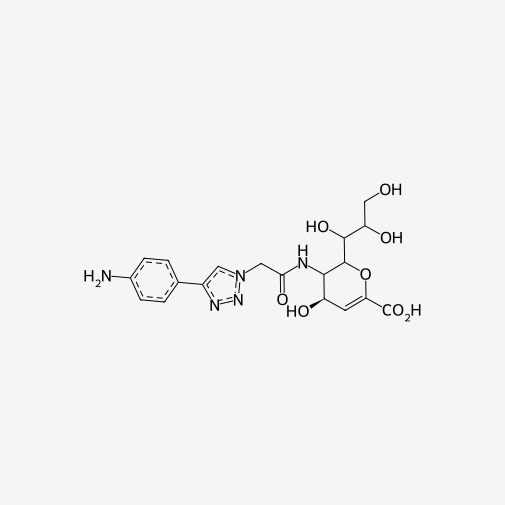 Nc1ccc(-c2cn(CC(=O)NC3C(C(O)C(O)CO)OC(C(=O)O)=C[C@H]3O)nn2)cc1